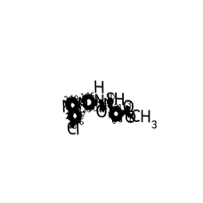 COC(=O)c1cccc(N(S)C(=O)NC2CCN(c3ccnc4cc(Cl)ccc34)CC2)c1